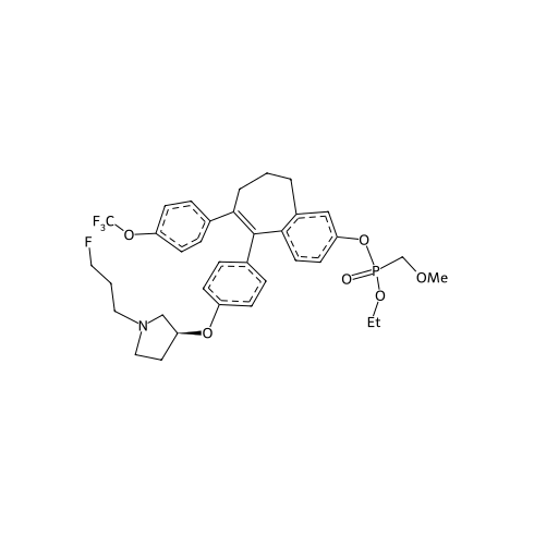 CCOP(=O)(COC)Oc1ccc2c(c1)CCCC(c1ccc(OC(F)(F)F)cc1)=C2c1ccc(O[C@H]2CCN(CCCF)C2)cc1